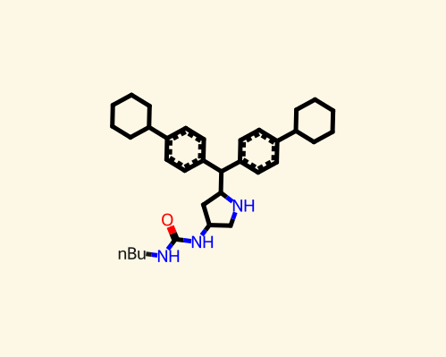 CCCCNC(=O)NC1CNC(C(c2ccc(C3CCCCC3)cc2)c2ccc(C3CCCCC3)cc2)C1